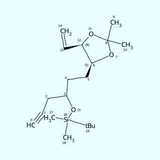 C#CCC(CC[C@@H]1OC(C)(C)O[C@@H]1C=C)O[Si](C)(C)C(C)(C)C